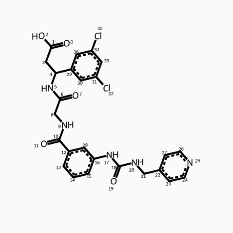 O=C(O)CC(NC(=O)CNC(=O)c1cccc(NC(=O)NCc2ccncc2)c1)c1cc(Cl)cc(Cl)c1